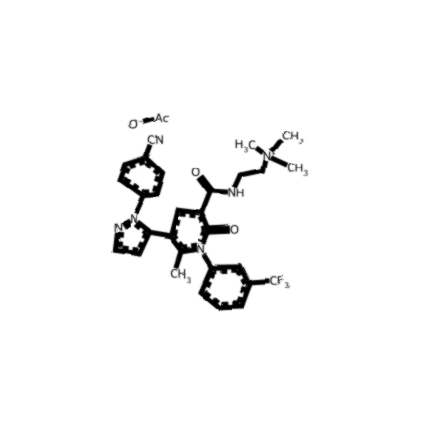 CC(=O)[O-].Cc1c(-c2ccnn2-c2ccc(C#N)cc2)cc(C(=O)NCC[N+](C)(C)C)c(=O)n1-c1cccc(C(F)(F)F)c1